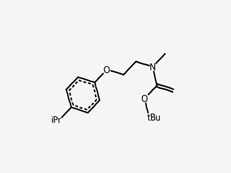 C=C(OC(C)(C)C)N(C)CCOc1ccc(C(C)C)cc1